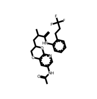 C=C(Nc1ccccc1CCC(F)(F)F)C(C)CC1COc2cc(NC(C)=O)cnc2O1